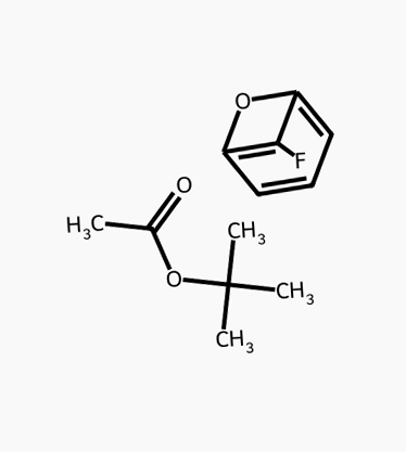 CC(=O)OC(C)(C)C.Fc1c2cccc1O2